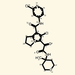 CC1(NC(=O)C(=O)c2c(Cl)c(C(=O)Nc3ccnc(Cl)c3)c3n2CCC3)CCOCC1